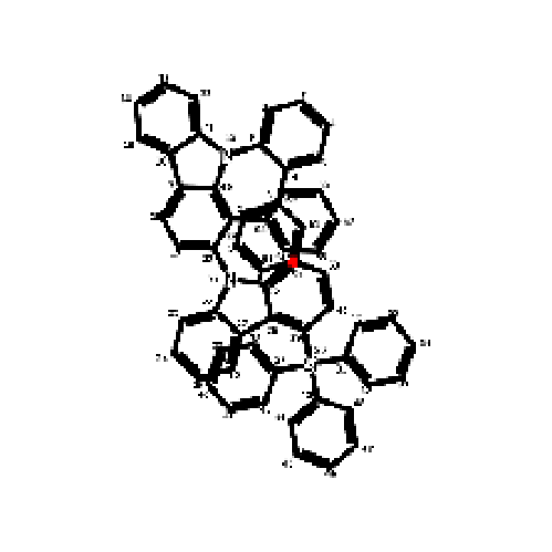 c1ccc(-c2ccccc2-n2c3ccccc3c3ccc(-n4c5ccccc5c5c([Si](c6ccccc6)(c6ccccc6)c6ccccc6)cccc54)c(-c4ccccc4)c32)cc1